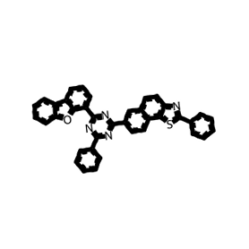 c1ccc(-c2nc(-c3ccc4c(ccc5nc(-c6ccccc6)sc54)c3)nc(-c3cccc4c3oc3ccccc34)n2)cc1